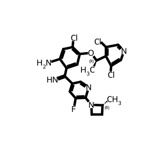 C[C@@H]1CCN1c1ncc(C(=N)c2cc(O[C@H](C)c3c(Cl)cncc3Cl)c(Cl)cc2N)cc1F